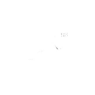 CCC(C)[C@@H](C(C)CCC(C)C)C(C)NC